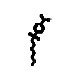 COCCOCCS(=O)(=O)c1ccc([N+](=O)[O-])cc1